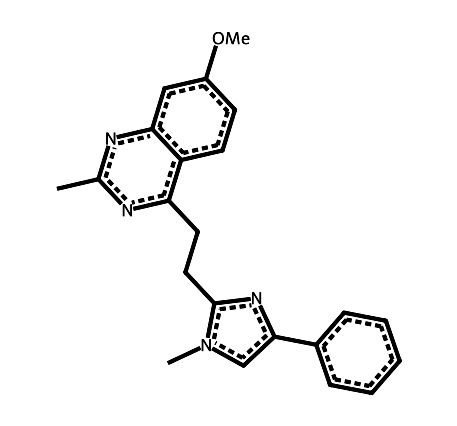 COc1ccc2c(CCc3nc(-c4ccccc4)cn3C)nc(C)nc2c1